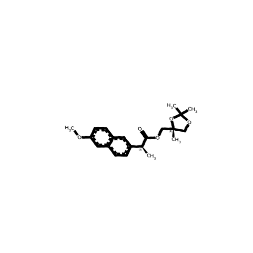 COc1ccc2cc([C@H](C)C(=O)OC[C@@]3(C)COC(C)(C)O3)ccc2c1